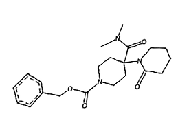 CN(C)C(=O)C1(N2CCCCC2=O)CCN(C(=O)OCc2ccccc2)CC1